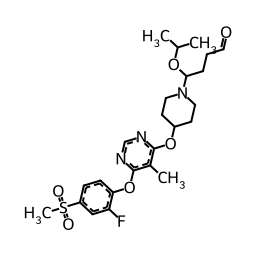 Cc1c(Oc2ccc(S(C)(=O)=O)cc2F)ncnc1OC1CCN(C(CCC=O)OC(C)C)CC1